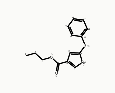 CCCOC(=O)c1c[nH]c(Sc2ccccc2)c1